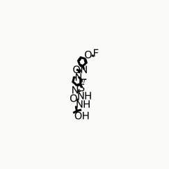 C[C@H]1c2sc(NC(=O)NCC(C)(C)O)nc2CCN1c1nc2cc(OCF)ccc2o1